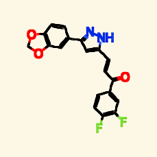 O=C(C=Cc1cc(-c2ccc3c(c2)OCO3)n[nH]1)c1ccc(F)c(F)c1